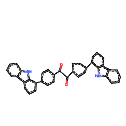 O=C(C(=O)c1ccc(-c2cccc3c2[nH]c2ccccc23)cc1)c1ccc(-c2cccc3c2[nH]c2ccccc23)cc1